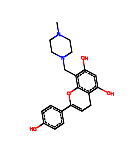 CN1CCN(Cc2c(O)cc(O)c3c2OC(c2ccc(O)cc2)=CC3)CC1